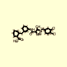 Cc1c(C(=O)Nc2cccc(Cc3ccccc3C(=O)O)c2)nnn1Cc1ccc(Cl)c(Cl)c1